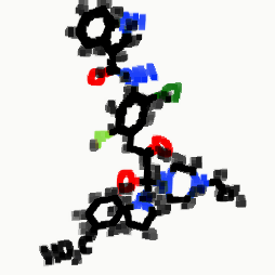 O=C(Nc1cc(F)c(CC(=O)C(O[C@H]2CC[C@H](C(=O)O)CC2)(N2CCCC2)N2CCN(CC(F)(F)F)CC2)cc1Cl)c1c[nH]c2ccccc12